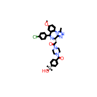 COc1ccc2c(c1)C(c1ccc(Cl)cc1)=N[C@@H](CC(=O)N1CCN(C(=O)c3ccc([Si](C)(C)O)cc3)CC1)c1nnc(C)n1-2